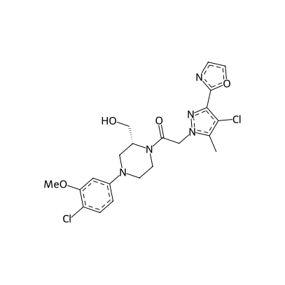 COc1cc(N2CCN(C(=O)Cn3nc(-c4ncco4)c(Cl)c3C)[C@@H](CO)C2)ccc1Cl